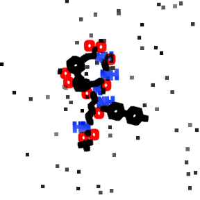 COC(=O)[C@@H]1Cc2ccc(OC)c(c2)-c2cc(ccc2OC)[C@H](N(C)C(=O)[C@H](CCCCNC(=O)OC(C)(C)C)NC(=O)c2ccc(-c3ccc(C)cc3)cc2)C(=O)N[C@@H](C)C(=O)N1